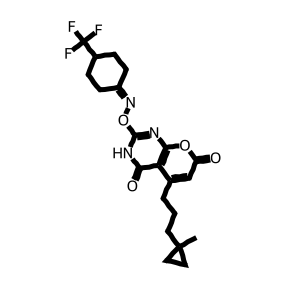 CC1(CCCc2cc(=O)oc3nc(ON=C4CCC(C(F)(F)F)CC4)[nH]c(=O)c23)CC1